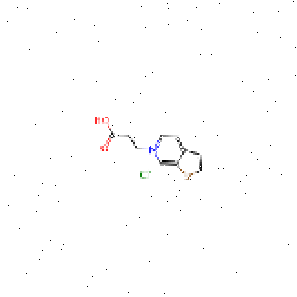 O=C(O)CC[n+]1ccc2ccsc2c1.[Cl-]